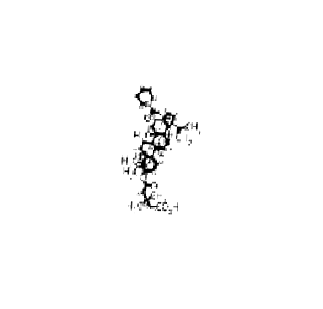 C=C(C)[C@@H]1CC[C@]2(CC(=O)N3CCCCC3)CC[C@]3(C)[C@H](CC[C@@H]4[C@@]5(C)CC[C@H](OC(=O)CC(C)(C)CC(=O)O)C(C)(C)[C@@H]5CC[C@]43C)[C@@H]12